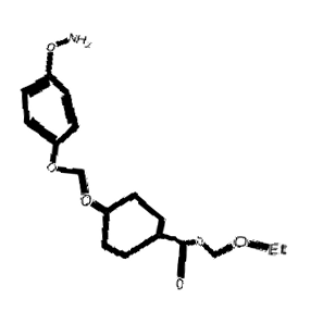 CCOCOC(=O)C1CCC(OCOc2ccc(ON)cc2)CC1